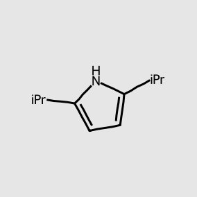 CC(C)c1ccc(C(C)C)[nH]1